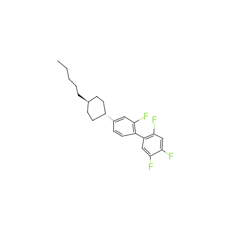 CCCCC[C@H]1CC[C@H](c2ccc(-c3cc(F)c(F)cc3F)c(F)c2)CC1